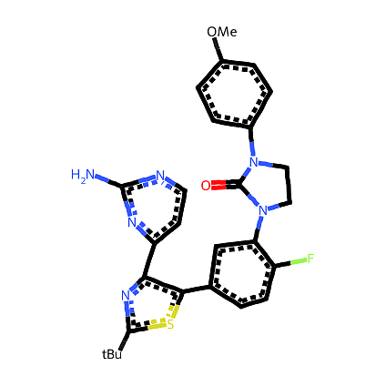 COc1ccc(N2CCN(c3cc(-c4sc(C(C)(C)C)nc4-c4ccnc(N)n4)ccc3F)C2=O)cc1